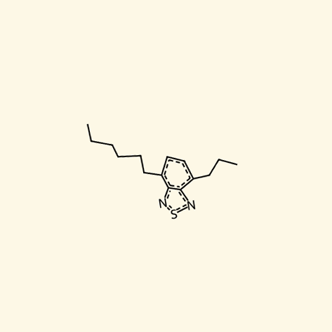 CCCCCCc1ccc(CCC)c2nsnc12